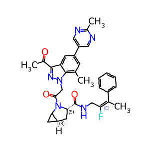 CC(=O)c1nn(CC(=O)N2C3C[C@@H]3C[C@H]2C(=O)NC/C(F)=C(/C)c2ccccc2)c2c(C)cc(-c3cnc(C)nc3)cc12